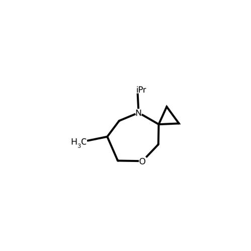 CC1COCC2(CC2)N(C(C)C)C1